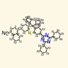 N#Cc1ccc(-c2ccc3c(c2)Sc2cc(-c4nc(-c5ccccc5)nc(-c5ccccc5)n4)ccc2C32c3ccccc3-c3ccccc32)c2ccccc12